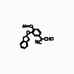 COc1ccc(C(C#N)C=O)cc1OC1Cc2ccccc2C1